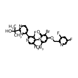 Cc1cnc(-c2ccnc(C(C)(C)O)n2)c(F)c1-n1c(C)cc(OCc2ncc(F)cc2F)c(Br)c1=O